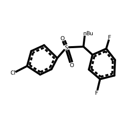 CCCCC(c1cc(F)ccc1F)S(=O)(=O)c1ccc(Cl)cc1